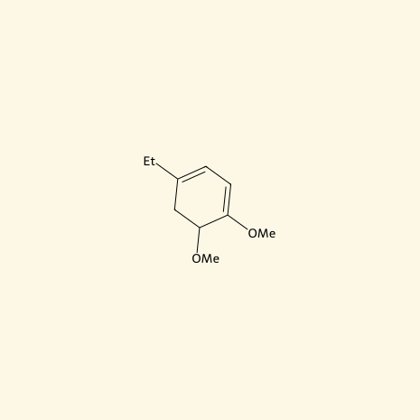 CCC1=CC=C(OC)C(OC)C1